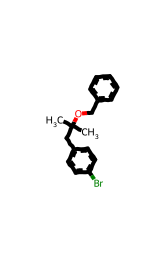 CC(C)(Cc1ccc(Br)cc1)OCc1ccccc1